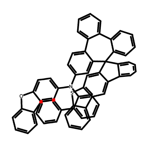 c1ccc(-c2ccccc2N(c2ccc3c(c2)C2(c4ccccc4-c4ccccc4-3)c3ccccc3-c3cc4c(cc32)sc2ccccc24)c2ccc3oc4ccccc4c3c2)cc1